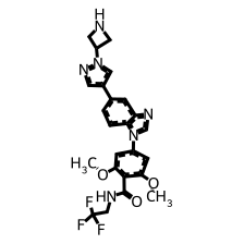 COc1cc(-n2cnc3cc(-c4cnn(C5CNC5)c4)ccc32)cc(OC)c1C(=O)NCC(F)(F)F